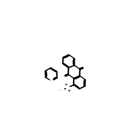 O=C1c2ccccc2C(=O)c2c1cccc2S(=O)(=O)O.c1ccncc1